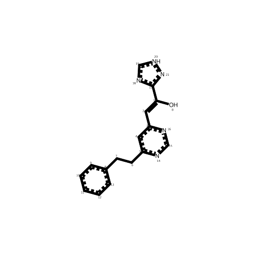 O/C(=C\c1cc(CCc2ccccc2)ncn1)c1nc[nH]n1